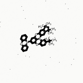 CC(C)(C)c1ccc2c(c1)B1c3cc4c(cc3Oc3cc(N5c6ccccc6Oc6ccccc65)cc(c31)O2)C(C)(C)CC4(C)C